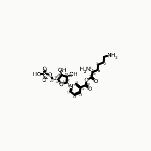 NCCCC[C@@H](N)C(=O)OC(=O)c1ccc[n+]([C@@H]2O[C@H](COP(=O)([O-])O)[C@@H](O)[C@H]2O)c1